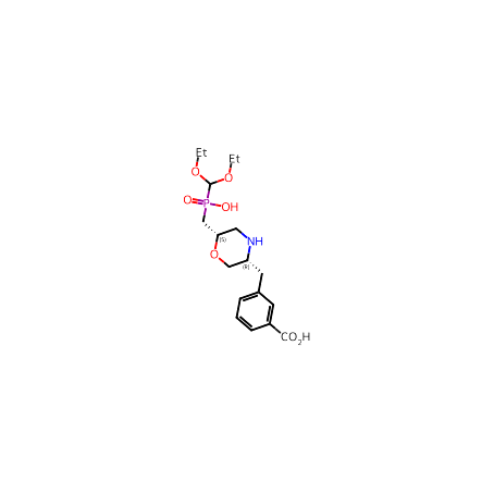 CCOC(OCC)P(=O)(O)C[C@@H]1CN[C@H](Cc2cccc(C(=O)O)c2)CO1